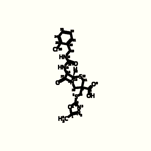 Cc1nnc(SCC2(C(=O)O)CS[C@@H]3C(NC(=O)NCc4ccccc4Cl)C(=O)N3C2)o1